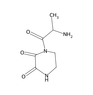 CC(N)C(=O)N1CCNC(=O)C1=O